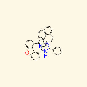 c1ccc(C2=NC(c3ccccc3)NC(c3cccc4oc5cccc(-c6ccc7ccc8ccccc8c7c6)c5c34)=N2)cc1